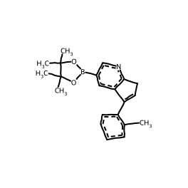 Cc1ccccc1C1=CCc2ncc(B3OC(C)(C)C(C)(C)O3)cc21